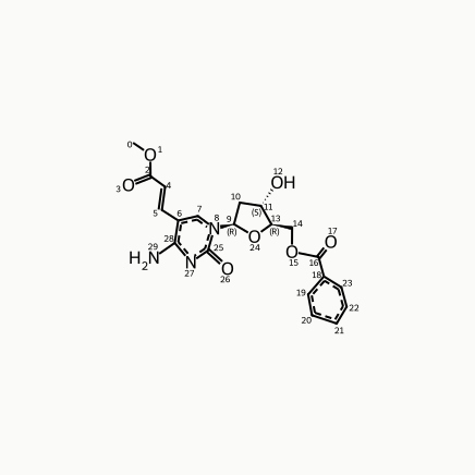 COC(=O)C=Cc1cn([C@H]2C[C@H](O)[C@@H](COC(=O)c3ccccc3)O2)c(=O)nc1N